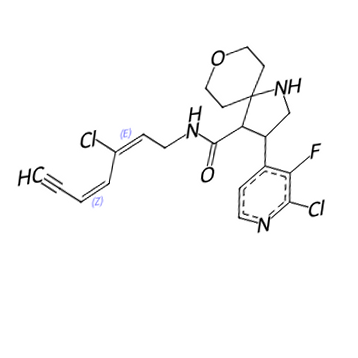 C#C/C=C\C(Cl)=C/CNC(=O)C1C(c2ccnc(Cl)c2F)CNC12CCOCC2